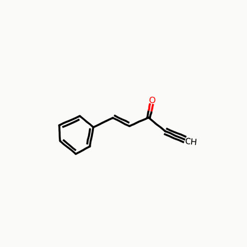 C#CC(=O)C=Cc1ccccc1